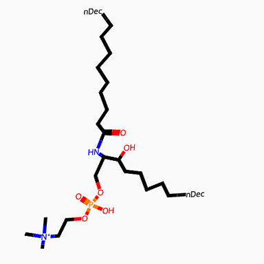 CCCCCCCCCCCCCCCCCCC(=O)NC(COP(=O)(O)OCC[N+](C)(C)C)C(O)CCCCCCCCCCCCCCC